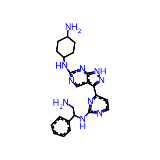 NCC(Nc1nccc(-c2n[nH]c3nc(NC4CCC(N)CC4)ncc23)n1)c1ccccc1